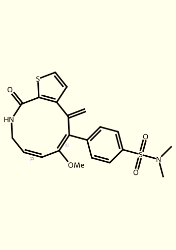 C=C1/C(c2ccc(S(=O)(=O)N(C)C)cc2)=C(OC)\C=C/CNC(=O)c2sccc21